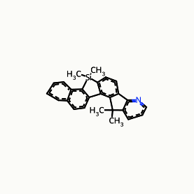 CC1(C)c2cccnc2-c2ccc3c(c21)-c1ccc2ccccc2c1[Si]3(C)C